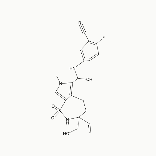 C=C[C@]1(CO)CCc2c(cn(C)c2C(O)Nc2ccc(F)c(C#N)c2)S(=O)(=O)N1